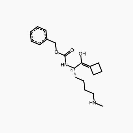 CNCCCC[C@H](NC(=O)OCc1ccccc1)C(O)=C1CCC1